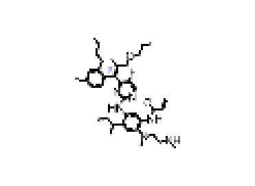 C=CC(=O)Nc1cc(Nc2ncc(F)c(/C(=C(/C)COCCC)c3ccc(F)cc3CCCC)n2)c(C(C)CC)cc1N(C)CCNC